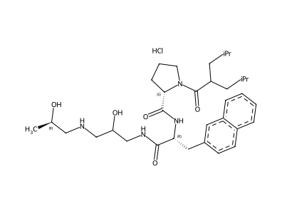 CC(C)CC(CC(C)C)C(=O)N1CCC[C@H]1C(=O)N[C@H](Cc1ccc2ccccc2c1)C(=O)NCC(O)CNC[C@@H](C)O.Cl